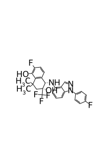 CC1(C)C[C@](O)(C(F)(F)F)[C@@H](Nc2cccc3c2cnn3-c2ccc(F)cc2)c2ccc(F)c(O)c21